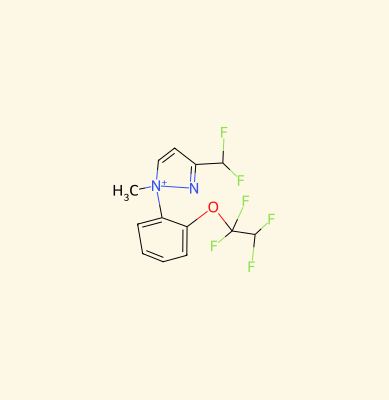 C[N+]1(c2ccccc2OC(F)(F)C(F)F)C=CC(C(F)F)=N1